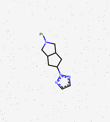 CC(C)N1CC2CC(n3nccn3)CC2C1